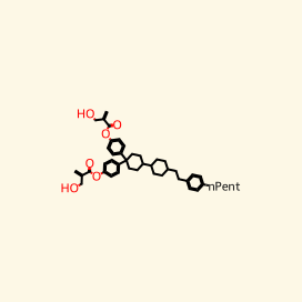 C=C(CO)C(=O)Oc1ccc(C2(c3ccc(OC(=O)C(=C)CO)cc3)CCC(C3CCC(CCc4ccc(CCCCC)cc4)CC3)CC2)cc1